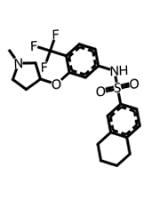 CN1CCC(Oc2cc(NS(=O)(=O)c3ccc4c(c3)CCCC4)ccc2C(F)(F)F)C1